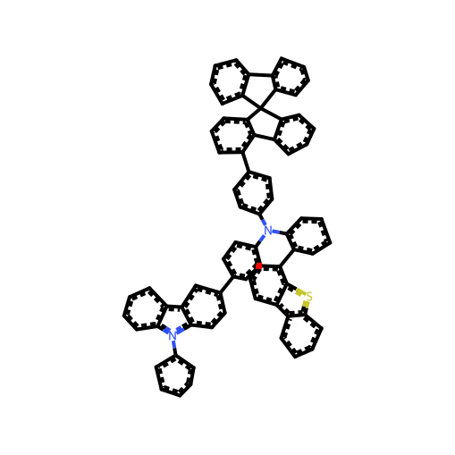 c1ccc(-n2c3ccccc3c3cc(-c4ccc(N(c5ccc(-c6cccc7c6-c6ccccc6C76c7ccccc7-c7ccccc76)cc5)c5ccccc5-c5cccc6c5sc5ccccc56)cc4)ccc32)cc1